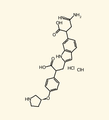 Cl.Cl.N=C(N)CC(C(=O)O)c1ccc2cc(CC(C(=O)O)c3ccc(O[C@H]4CCNC4)cc3)[nH]c2c1